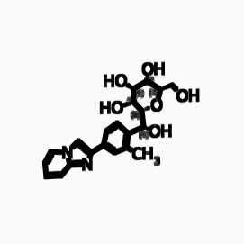 Cc1cc(-c2cn3ccccc3n2)ccc1[C@@H](O)[C@H]1O[C@H](CO)[C@@H](O)[C@H](O)[C@@H]1O